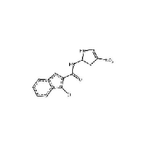 CCc1c(C(=O)NC2NC=C([N+](=O)[O-])S2)sc2ccccc12